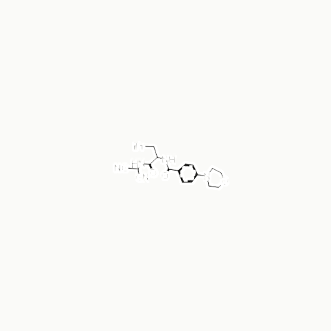 CC(C)CC(NC(=O)c1ccc(N2CCOCC2)cc1)C(=O)NC(C#N)C#N